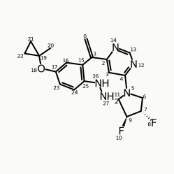 C=C(c1cc(N2C[C@H](F)[C@@H](F)C2)ncn1)c1cc(OC2(C)CC2)ccc1NN